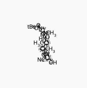 Cc1c(NC(=O)c2nc3c(n2C)CCN(C(=O)OC(C)(C)C)C3)cccc1-c1cccc(-c2nc3cc(CO)cc(C#N)c3o2)c1C